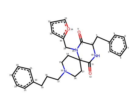 O=C1C(Cc2ccccc2)NC(=O)C2(CCN(CCCc3ccccc3)CC2)N1Cc1ccco1